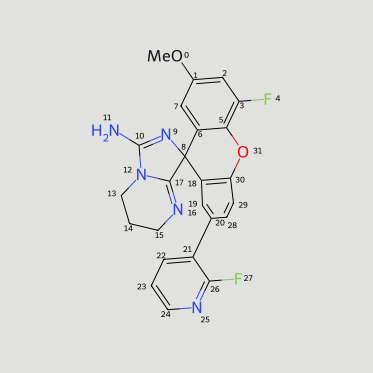 COc1cc(F)c2c(c1)C1(N=C(N)N3CCCN=C31)c1cc(-c3cccnc3F)ccc1O2